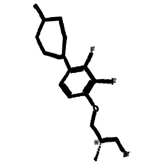 CC1CCC(c2ccc(OC[C@@H](C)CBr)c(F)c2F)CC1